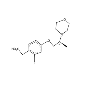 C[C@@H](COc1ccc(CC(=O)O)c(F)c1)N1CCOCC1